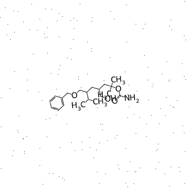 CC(C)C(COCc1ccccc1)CC(CO)CC(C)(C)OC(N)=O